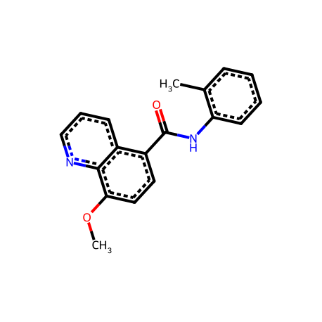 COc1ccc(C(=O)Nc2ccccc2C)c2cccnc12